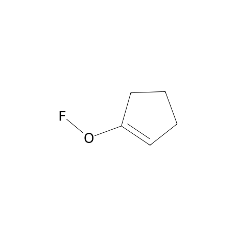 FOC1=CCCC1